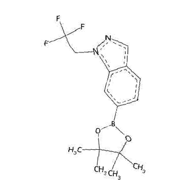 CC1(C)OB(c2ccc3cnn(CC(F)(F)F)c3c2)OC1(C)C